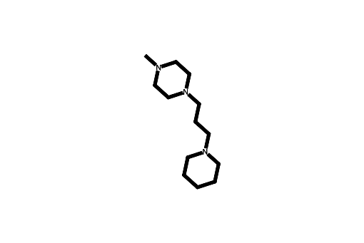 CN1CCN(CCCN2CCCCC2)CC1